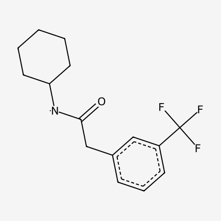 O=C(Cc1cccc(C(F)(F)F)c1)[N]C1CCCCC1